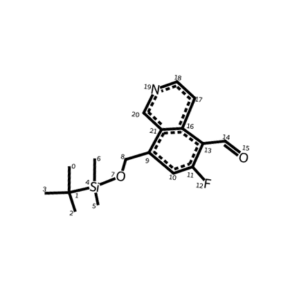 CC(C)(C)[Si](C)(C)OCc1cc(F)c(C=O)c2ccncc12